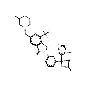 CC1CCCN(Cc2cc3c(c(C(F)(F)F)c2)CN(c2cccc(C4(c5nncn5C)CC(C)C4)c2)C3=O)C1